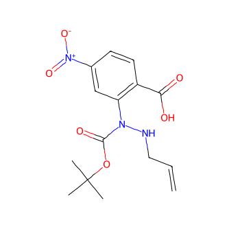 C=CCNN(C(=O)OC(C)(C)C)c1cc([N+](=O)[O-])ccc1C(=O)O